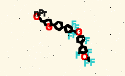 CCCOCCC1CCC(C2CCC(c3cc(F)c(C(F)(F)Oc4ccc(-c5cc(F)c(OC=C(F)F)c(F)c5)c(F)c4)c(F)c3)CC2)OC1